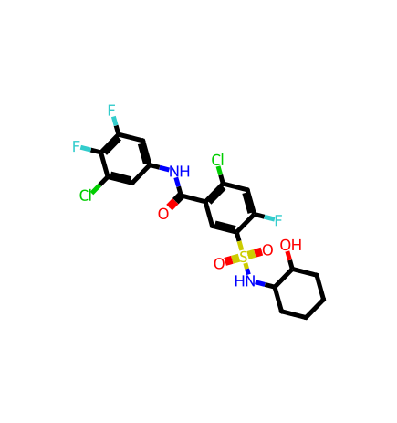 O=C(Nc1cc(F)c(F)c(Cl)c1)c1cc(S(=O)(=O)NC2CCCCC2O)c(F)cc1Cl